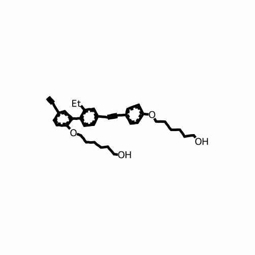 C#Cc1ccc(OCCCCCCO)c(-c2ccc(C#Cc3ccc(OCCCCCCO)cc3)cc2CC)c1